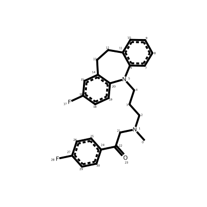 CN(CCCN1c2ccccc2CCc2cc(F)ccc21)CC(=O)c1ccc(F)cc1